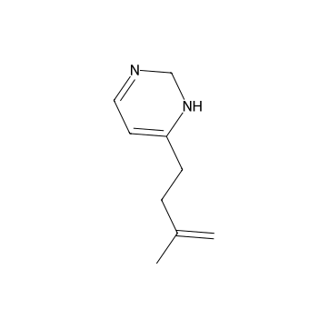 C=C(C)CCC1=CC=NCN1